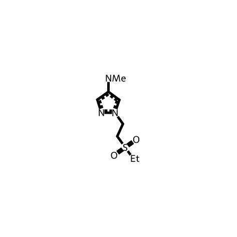 CCS(=O)(=O)CCn1cc(NC)cn1